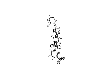 Cc1ccccc1-c1csc(N2CCN(S(=O)(=O)c3cccc([N+](=O)[O-])c3)CC2)n1